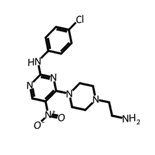 NCCN1CCN(c2nc(Nc3ccc(Cl)cc3)ncc2[N+](=O)[O-])CC1